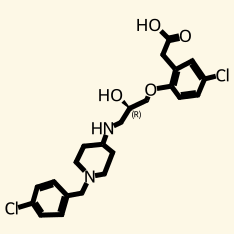 O=C(O)Cc1cc(Cl)ccc1OC[C@H](O)CNC1CCN(Cc2ccc(Cl)cc2)CC1